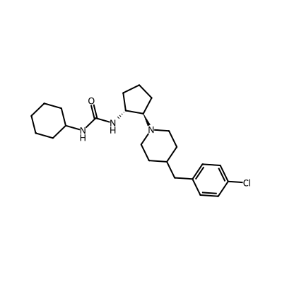 O=C(NC1CCCCC1)N[C@@H]1CCC[C@H]1N1CCC(Cc2ccc(Cl)cc2)CC1